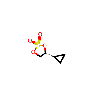 O=S1(=O)OC[C@@H](C2CC2)O1